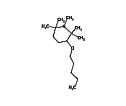 CCCCCOC1CCC(C)(C)N(C)C1(C)C